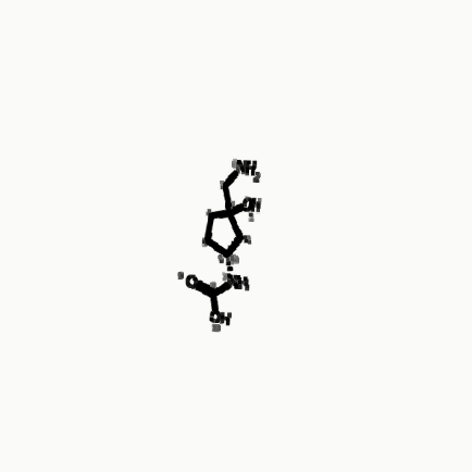 NCC1(O)CC[C@@H](NC(=O)O)C1